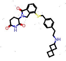 O=C1CCC(N2Cc3c(SCc4ccc(CCNC5CC6(CCC6)C5)cc4)cccc3C2=O)C(=O)N1